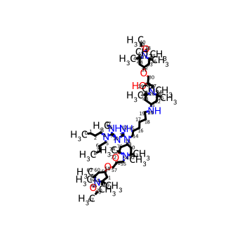 CCCCN(CCCC)/C(=N/C(=N)N(CCCCCCNC1CC(C)(C)N(CC(O)COC2CC(C)(C)N(OCC)C(C)(C)C2)C(C)(C)C1)C1CC(C)(C)N2CC(COC3CC(C)(C)N(OCC)C(C)(C)C3)OC2(C)C1)NC